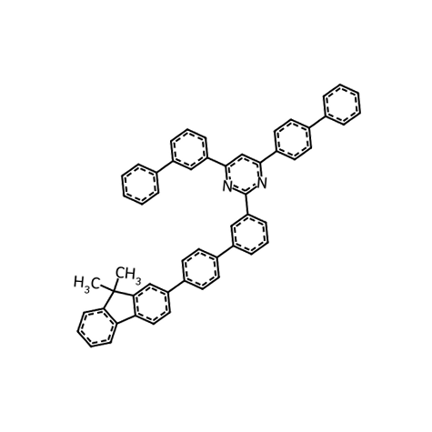 CC1(C)c2ccccc2-c2ccc(-c3ccc(-c4cccc(-c5nc(-c6ccc(-c7ccccc7)cc6)cc(-c6cccc(-c7ccccc7)c6)n5)c4)cc3)cc21